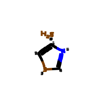 S.c1cscn1